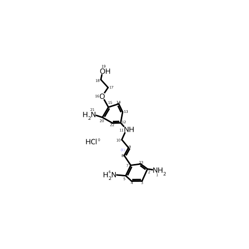 Cl.Nc1ccc(N)c(/C=C/CNc2ccc(OCCO)c(N)c2)c1